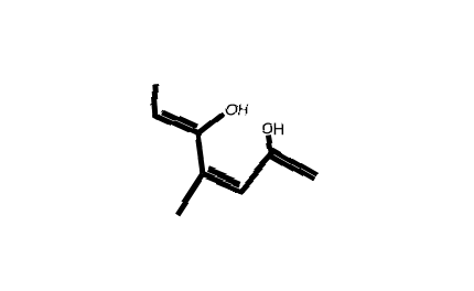 C=C(O)/C=C(C)\C(O)=C\C